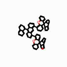 c1ccc2c(c1)Oc1c(-c3cccc4c(-c5cccc6ccccc56)c5cccc(-c6cccc7c6Oc6ccccc6C76c7ccccc7-c7ccccc76)c5cc34)cccc1C21c2ccccc2-c2ccccc21